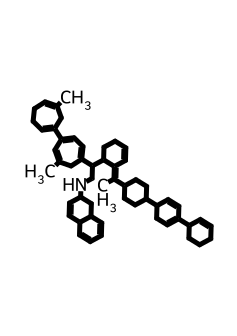 CC1=CCCC=C(C2=CC=C(C(CNC3C=CC4C=CC=CC4C3)C3CCC=C/C3=C(/C)C3CCC(C4C=CC(C5C=CCCC5)=CC4)CC3)CC(C)=C2)C1